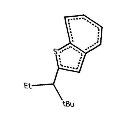 CCC(c1cc2ccccc2s1)C(C)(C)C